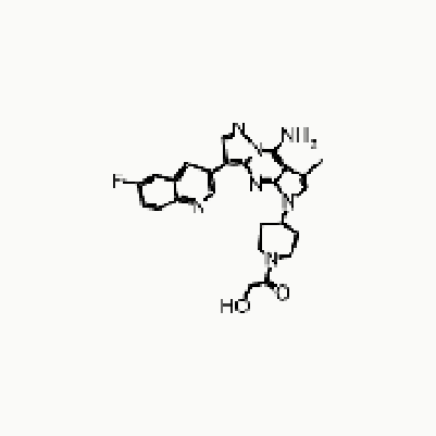 Cc1cn(C2CCN(C(=O)CO)CC2)c2nc3c(-c4cnc5ccc(F)cc5c4)cnn3c(N)c12